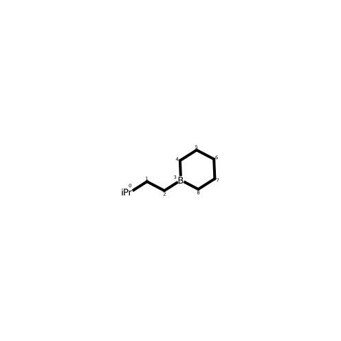 CC(C)CCB1CCCCC1